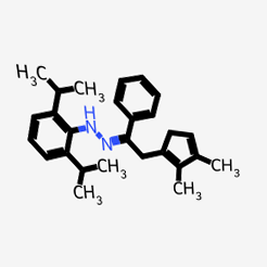 CC1=CCC(CC(=NNc2c(C(C)C)cccc2C(C)C)c2ccccc2)=C1C